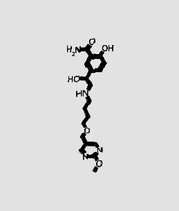 COc1ncc(COCCCCNCC(O)c2ccc(O)c(C(N)=O)c2)cn1